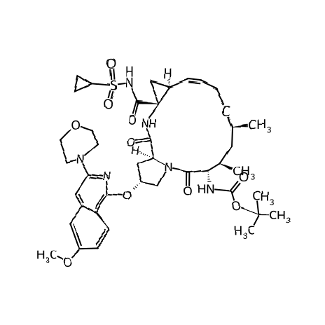 COc1ccc2c(O[C@@H]3C[C@H]4C(=O)N[C@]5(C(=O)NS(=O)(=O)C6CC6)C[C@H]5/C=C\CC[C@@H](C)C[C@@H](C)[C@H](NC(=O)OC(C)(C)C)C(=O)N4C3)nc(N3CCOCC3)cc2c1